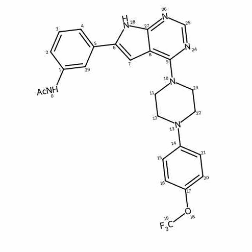 CC(=O)Nc1cccc(-c2cc3c(N4CCN(c5ccc(OC(F)(F)F)cc5)CC4)ncnc3[nH]2)c1